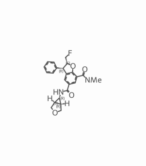 CNC(=O)c1cc(C(=O)N[C@H]2[C@@H]3COC[C@@H]32)cc2c1O[C@H](CF)[C@@H]2c1ccccc1